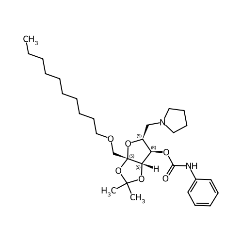 CCCCCCCCCCOC[C@@]12O[C@@H](CN3CCCC3)[C@@H](OC(=O)Nc3ccccc3)[C@@H]1OC(C)(C)O2